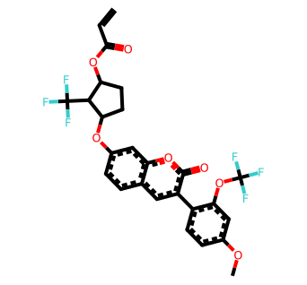 C=CC(=O)OC1CCC(Oc2ccc3cc(-c4ccc(OC)cc4OC(F)(F)F)c(=O)oc3c2)C1C(F)(F)F